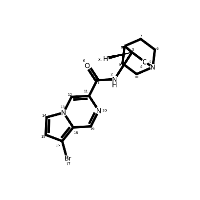 O=C(N[C@H]1CN2CCC1CC2)c1cn2ccc(Br)c2cn1